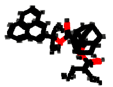 CCC(C)C(=O)OC1C2CC3CC1CC(C2)C3C(=O)OC(C)(C)c1cc2c3c(cccc3c1)CC=C2